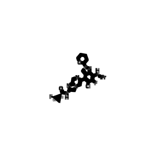 CC(C)Nc1c(F)c(Cl)c(-c2cn3cc(NC(=O)[C@@H]4C[C@@H]4F)nc3cn2)c2cn(C3CCCCO3)nc12